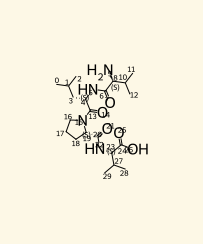 CC(C)C[C@H](NC(=O)[C@@H](N)C(C)C)C(=O)N1CCC[C@H]1C(=O)N[C@H](C(=O)O)C(C)C